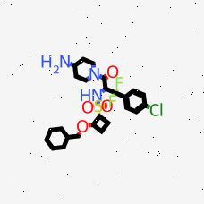 NC1CCN(C(=O)C(NS(=O)(=O)[C@H]2CCC2OCC2CCCCC2)C(F)(F)c2ccc(Cl)cc2)CC1